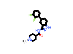 CN1CCC(C(=O)Nc2n[nH]c3ccc(-c4cccc(F)c4F)cc23)CC1